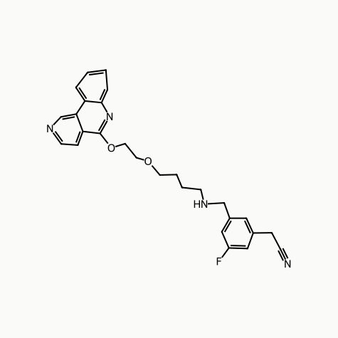 N#CCc1cc(F)cc(CNCCCCOCCOc2nc3ccccc3c3cnccc23)c1